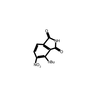 CCCCc1c([N+](=O)[O-])ccc2c1C(=O)NC2=O